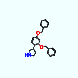 c1ccc(COc2ccc(C3CCNC3)c(OCc3ccccc3)c2)cc1